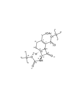 CC(=O)OCC1=C(C(=O)O[Si](C)(C)C)N2C(=O)[C@@H](NC(=O)O[Si](C)(C)C)[C@H]2SC1